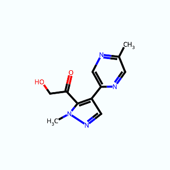 Cc1cnc(-c2cnn(C)c2C(=O)CO)cn1